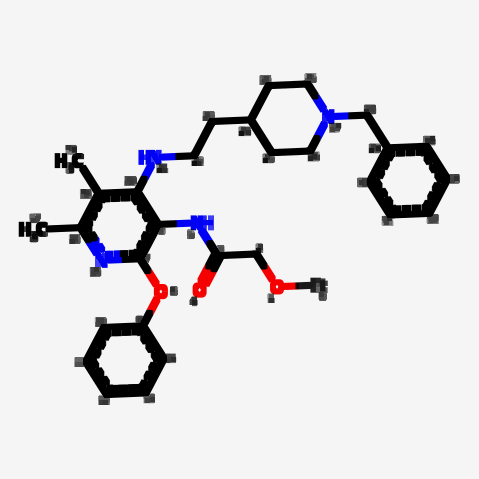 CCOCC(=O)Nc1c(Oc2ccccc2)nc(C)c(C)c1NCCC1CCN(Cc2ccccc2)CC1